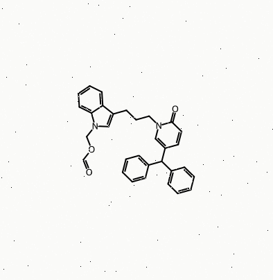 O=COCn1cc(CCCn2cc(C(c3ccccc3)c3ccccc3)ccc2=O)c2ccccc21